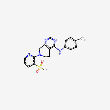 CCS(=O)(=O)c1cccnc1N1CCc2c(ncnc2Nc2ccc(C(F)(F)F)cc2)C1